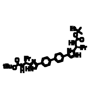 CCC(C)(C)OC(=O)N[C@H](c1nc(-c2ccc(-c3ccc(-c4c[nH]c([C@@H](NC(=O)OC(C)(C)C)C(C)C)n4)cc3)cc2)c[nH]1)C(C)C